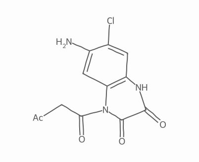 CC(=O)CC(=O)n1c(=O)c(=O)[nH]c2cc(Cl)c(N)cc21